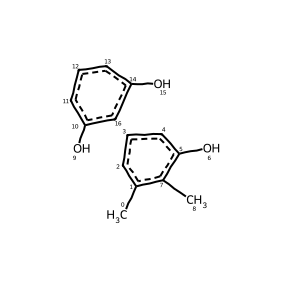 Cc1cccc(O)c1C.Oc1cccc(O)c1